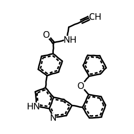 C#CCNC(=O)c1ccc(-c2c[nH]c3ncc(-c4ccccc4Oc4ccccc4)cc23)cc1